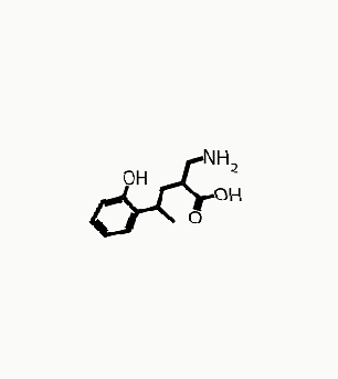 CC(CC(CN)C(=O)O)c1ccccc1O